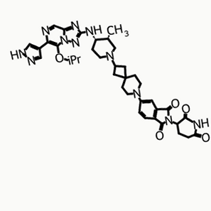 CC(C)Oc1c(-c2cn[nH]c2)ncc2nc(N[C@H]3CCN(C4CC5(CCN(c6ccc7c(c6)C(=O)N(C6CCC(=O)NC6=O)C7=O)CC5)C4)C[C@H]3C)nn12